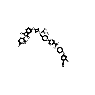 CC(C)N(CC1CCN(c2cnc(C(=O)N[C@H]3CC[C@H](Oc4ccc(C#N)c(Cl)c4)CC3)cn2)CC1)[C@H]1C[C@H](Oc2ccc3c(c2)C(=O)N(C2CCC(=O)NC2=O)C3=O)C1